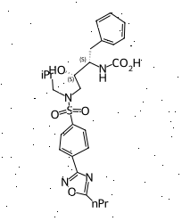 CCCc1nc(-c2ccc(S(=O)(=O)N(CC(C)C)C[C@H](O)[C@H](Cc3ccccc3)NC(=O)O)cc2)no1